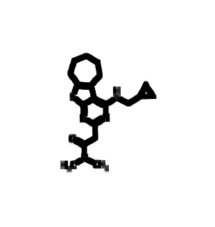 CN(C)C(=O)Cc1nc(NCC2CC2)c2c3c(sc2n1)CCCCC3